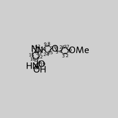 COc1ccc(COc2ccc(-n3cnc4ccc(C(=O)NO)cc43)cc2)cc1